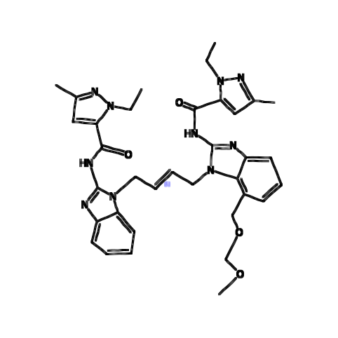 CCn1nc(C)cc1C(=O)Nc1nc2ccccc2n1C/C=C/Cn1c(NC(=O)c2cc(C)nn2CC)nc2cccc(COCOC)c21